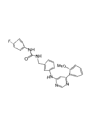 COc1ccccc1-c1cc(Nc2cccc(CNC(=O)Nc3ccc(F)cc3)c2)ncn1